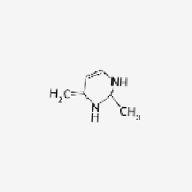 C=C1C=CNC(C)N1